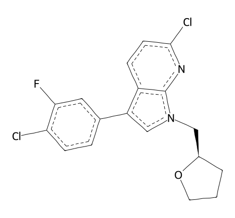 Fc1cc(-c2cn(C[C@H]3CCCO3)c3nc(Cl)ccc23)ccc1Cl